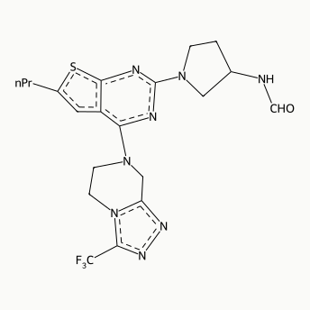 CCCc1cc2c(N3CCn4c(nnc4C(F)(F)F)C3)nc(N3CCC(NC=O)C3)nc2s1